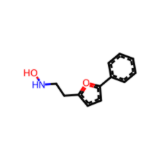 ONCCc1ccc(-c2ccccc2)o1